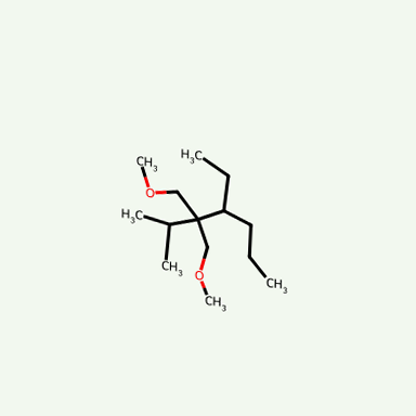 CCCC(CC)C(COC)(COC)C(C)C